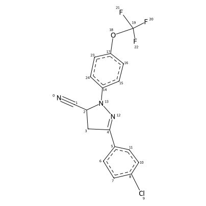 N#CC1CC(c2ccc(Cl)cc2)=NN1c1ccc(OC(F)(F)F)cc1